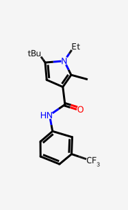 CCn1c(C(C)(C)C)cc(C(=O)Nc2cccc(C(F)(F)F)c2)c1C